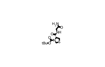 CC(C)(C)OC(=O)N1CSC[C@H]1C(=O)NCC(N)=O